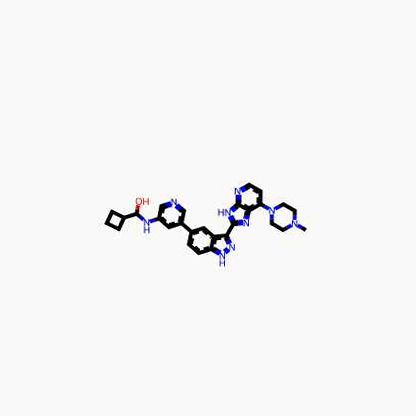 CN1CCN(c2ccnc3[nH]c(-c4n[nH]c5ccc(-c6cncc(NC(O)C7CCC7)c6)cc45)nc23)CC1